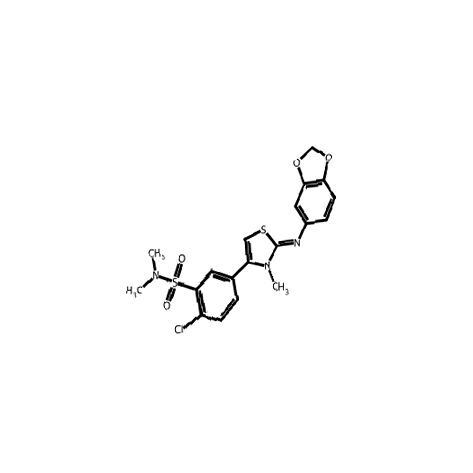 CN(C)S(=O)(=O)c1cc(-c2csc(=Nc3ccc4c(c3)OCO4)n2C)ccc1Cl